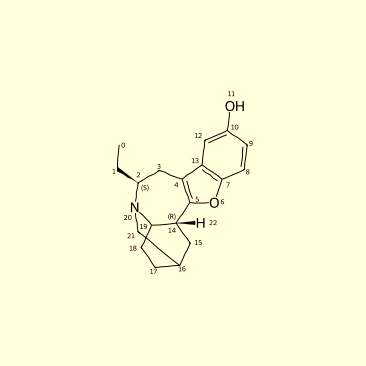 CC[C@H]1Cc2c(oc3ccc(O)cc23)[C@@H]2CC3CCC2N1C3